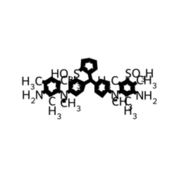 Cc1cc(C)c(N(C)c2ccc(C(c3ccc(N(C)c4c(C)c(N)c(C)c(S(=O)(=O)O)c4C)cc3)c3ccccc3S(=O)(=O)O)cc2)c(C)c1N